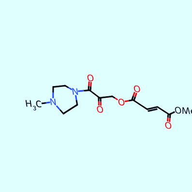 COC(=O)/C=C/C(=O)OCC(=O)C(=O)N1CCN(C)CC1